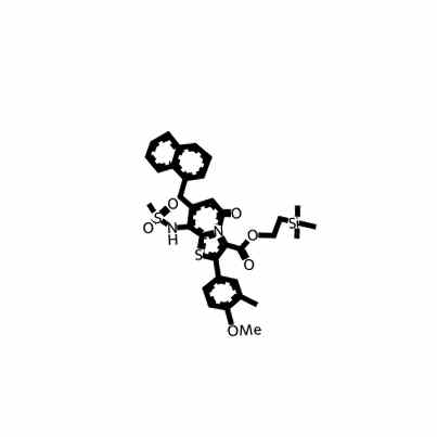 COc1ccc(-c2sc3c(NS(C)(=O)=O)c(Cc4cccc5ccccc45)cc(=O)n3c2C(=O)OCC[Si](C)(C)C)cc1C